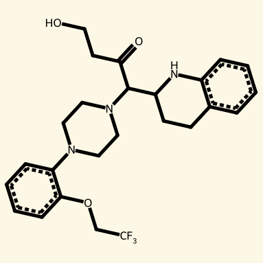 O=C(CCO)C(C1CCc2ccccc2N1)N1CCN(c2ccccc2OCC(F)(F)F)CC1